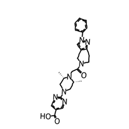 C[C@@H]1CN(c2ncc(C(=O)O)cn2)C[C@H](C)N1CC(=O)N1CCc2nn(-c3ccccc3)cc2C1